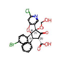 O=C(O)[C@H]1C(=O)[C@@]2(OCO)c3cnc(Cl)cc3O[C@@]2(c2ccc(Br)cc2)[C@@H]1c1ccccc1